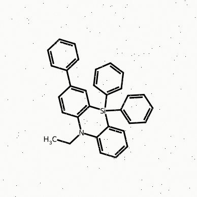 CCN1c2ccccc2[Si](c2ccccc2)(c2ccccc2)c2cc(-c3ccccc3)ccc21